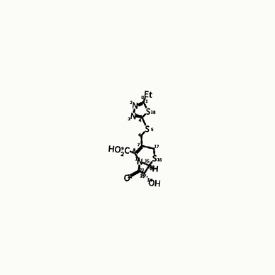 CCc1nnc(SCC2=C(C(=O)O)N3C(=O)[C@@H](O)[C@@H]3SC2)s1